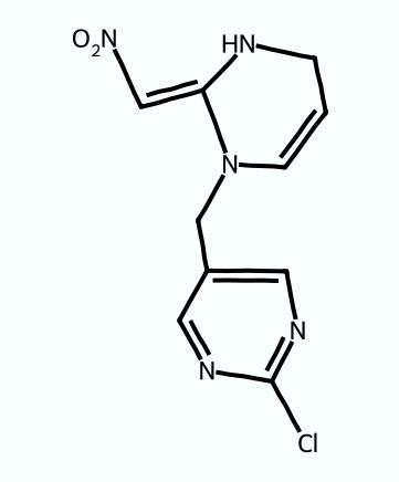 O=[N+]([O-])C=C1NCC=CN1Cc1cnc(Cl)nc1